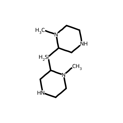 CN1CCNCC1[SiH2]C1CNCCN1C